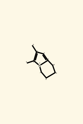 Cc1cc2n(c1C)CCCC2